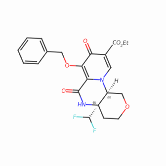 CCOC(=O)c1cn2c(c(OCc3ccccc3)c1=O)C(=O)N[C@]1(C(F)F)CCOC[C@H]21